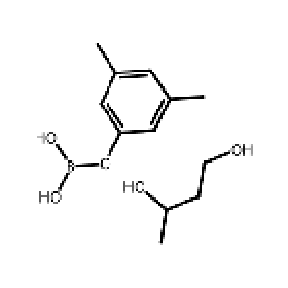 CC(O)CCO.Cc1cc(C)cc(OB(O)O)c1